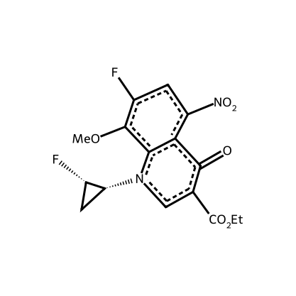 CCOC(=O)c1cn([C@@H]2C[C@@H]2F)c2c(OC)c(F)cc([N+](=O)[O-])c2c1=O